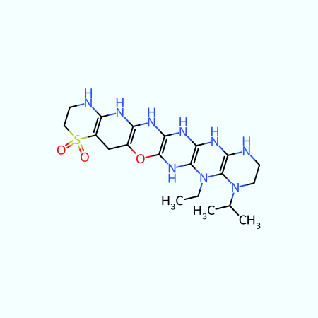 CCn1c2c([nH]c3[nH]c4[nH]c5c(oc4[nH]c31)CC1=C(NCCS1(=O)=O)N5)NCCN2C(C)C